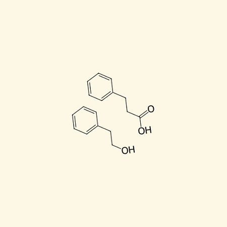 O=C(O)CCc1ccccc1.OCCc1ccccc1